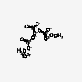 O.O.O.O=[N+]([O-])[O-].O=[N+]([O-])[O-].O=[N+]([O-])[O-].[Yb+3]